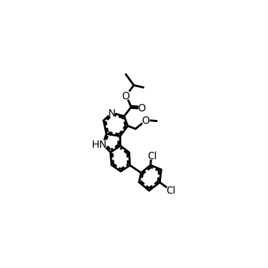 COCc1c(C(=O)OC(C)C)ncc2[nH]c3ccc(-c4ccc(Cl)cc4Cl)cc3c12